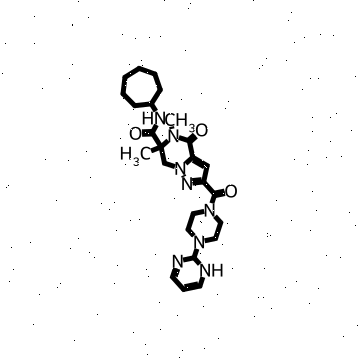 CN1C(=O)c2cc(C(=O)N3CCN(C4N=CC=CN4)CC3)nn2CC1(C)C(=O)NC1CCCCCC1